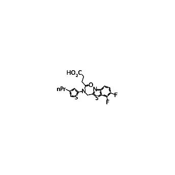 CCCc1csc(N(Cc2nc3ccc(F)c(F)c3s2)C(=O)CCC(=O)O)c1